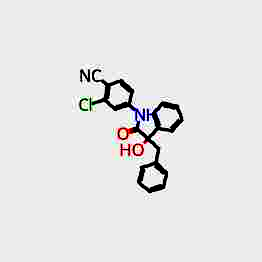 N#Cc1ccc(NC(=O)C(O)(Cc2ccccc2)c2ccccc2)cc1Cl